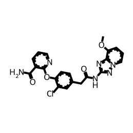 COc1cccn2nc(NC(=O)Cc3ccc(Oc4ncccc4C(N)=O)c(Cl)c3)nc12